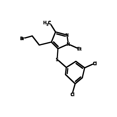 CCn1nc(C)c(CCBr)c1Sc1cc(Cl)cc(Cl)c1